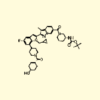 Cc1c(-c2cc3cc(F)cc(C4CCN(C(=O)[C@H]5CC[C@H](O)CC5)CC4)c3n2CC2CC2)nn2cc(C(=O)N3CCC[C@@H](NC(=O)OC(C)(C)C)C3)ccc12